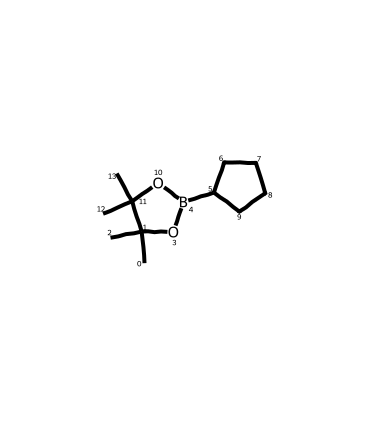 CC1(C)OB(C2CCCC2)OC1(C)C